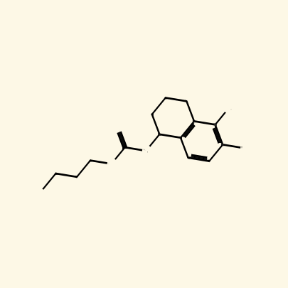 CCCCOC(=O)NC1CCCc2c1ccc(F)c2Br